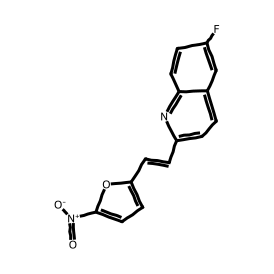 O=[N+]([O-])c1ccc(C=Cc2ccc3cc(F)ccc3n2)o1